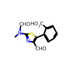 CN(C=O)c1nc(C=O)c(-c2ccccc2C(=O)O)s1